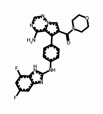 Nc1ncnn2cc(C(=O)N3CCOCC3)c(-c3ccc(Nc4nc5cc(F)cc(F)c5[nH]4)cc3)c12